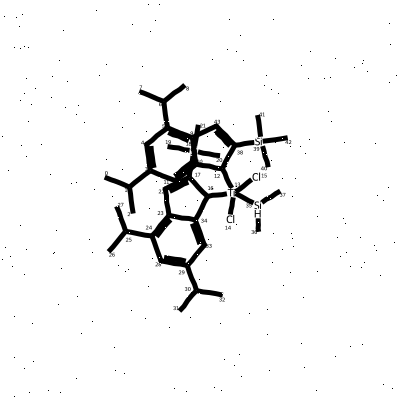 CC(C)c1cc(C(C)C)c2c(c1)[CH]([Ti]([Cl])([Cl])([CH]1C([Si](C)(C)C)=Cc3c(C(C)C)cc(C(C)C)cc31)[SiH](C)C)C([Si](C)(C)C)=C2